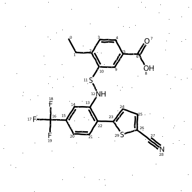 CCc1ccc(C(=O)O)cc1SNc1cc(C(F)(F)F)ccc1-c1ccc(C#N)s1